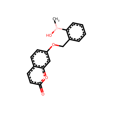 CB(O)c1ccccc1COc1ccc2ccc(=O)oc2c1